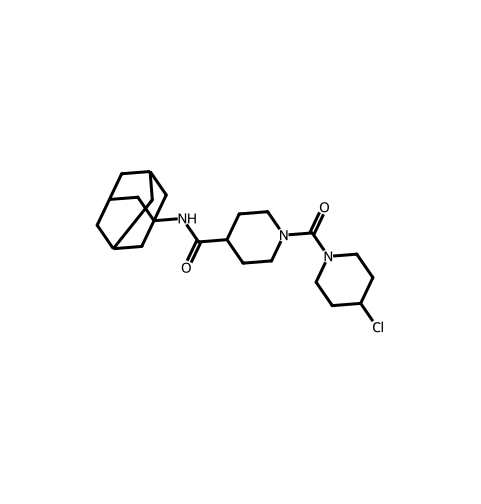 O=C(NC12CC3CC(CC(C3)C1)C2)C1CCN(C(=O)N2CCC(Cl)CC2)CC1